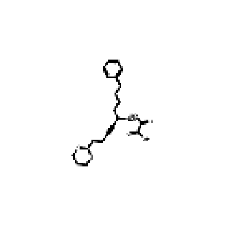 CNC(C#CCCC1SCCCS1)CCCCc1ccccc1.O=C(O)C(=O)O